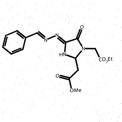 CCOC(=O)CN1C(=O)C(=NN=Cc2ccccc2)NC1CC(=O)OC